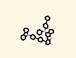 c1ccc(-c2ccc(N(c3ccccc3)c3cc4c(oc5cccc(-c6ccc(-c7ccc(-n8c9ccccc9c9ccccc98)cc7)cc6)c54)c4ccccc34)cc2)cc1